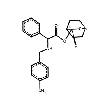 Cc1ccc(CNC(C(=O)O[C@H]2CN3CCC2CC3)c2ccccc2)cc1